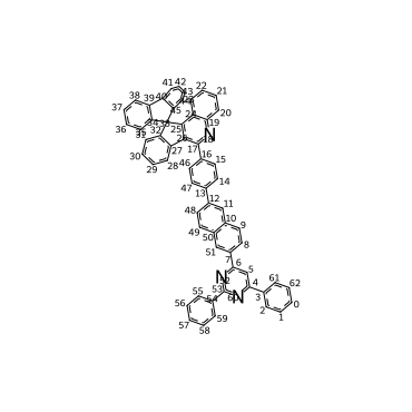 c1ccc(-c2cc(-c3ccc4cc(-c5ccc(-c6nc7ccccc7c7c6-c6ccccc6C76c7ccccc7-c7ccccc76)cc5)ccc4c3)nc(-c3ccccc3)n2)cc1